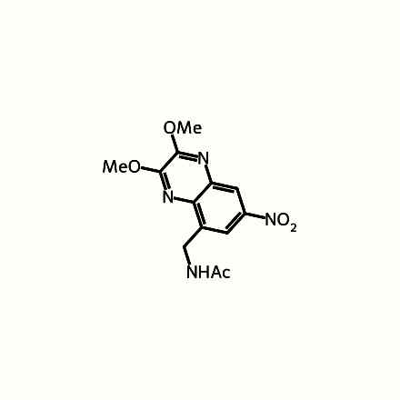 COc1nc2cc([N+](=O)[O-])cc(CNC(C)=O)c2nc1OC